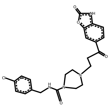 O=C(CCN1CCN(C(=O)NCc2ccc(Cl)cc2)CC1)c1ccc2[nH]c(=O)oc2c1